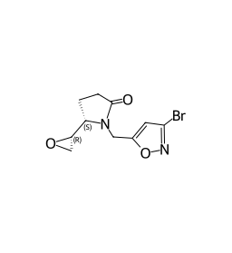 O=C1CC[C@@H]([C@@H]2CO2)N1Cc1cc(Br)no1